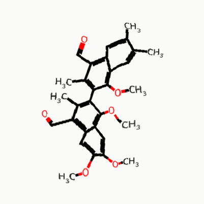 COc1cc2c(C=O)c(C)c(-c3c(C)c(C=O)c4cc(C)c(C)cc4c3OC)c(OC)c2cc1OC